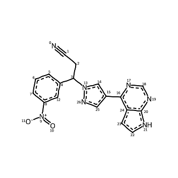 N#CCC(c1cccc([N+](=O)[O-])c1)n1cc(-c2ncnc3[nH]ccc23)cn1